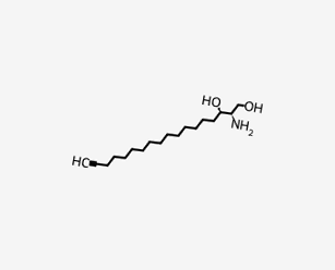 C#CCCCCCCCCCCCCC[C@@H](O)[C@@H](N)CO